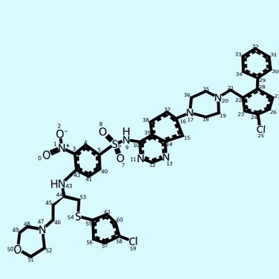 O=[N+]([O-])c1cc(S(=O)(=O)Nc2ncnc3cc(N4CCN(Cc5cc(Cl)ccc5-c5ccccc5)CC4)ccc23)ccc1N[C@H](CCN1CCOCC1)CSc1ccc(Cl)cc1